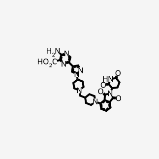 Nc1ncc(-c2cnn(C3CCN(CC4CCN(c5cccc6c5C(=O)N(C5CCC(=O)NC5=O)C6=O)CC4)CC3)c2)nc1C(=O)O